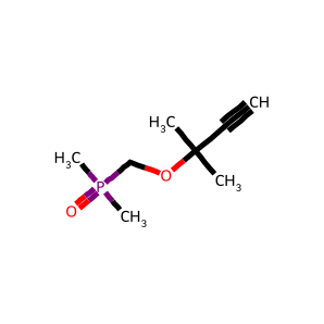 C#CC(C)(C)OCP(C)(C)=O